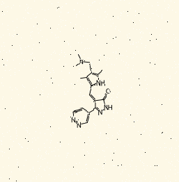 Cc1[nH]c(C=C2C(=O)NN=C2c2ccnnc2)c(C)c1CN(C)C